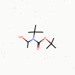 CC(O)N(C(=O)OC(C)(C)C)C(C)(C)C